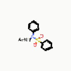 CC(=O)NN(c1ccccc1)S(=O)(=O)c1ccccc1